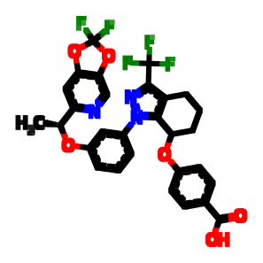 C[C@H](Oc1cccc(-n2nc(C(F)(F)F)c3c2C(Oc2ccc(C(=O)O)cc2)CCC3)c1)c1cc2c(cn1)OC(F)(F)O2